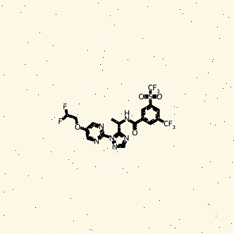 CC(NC(=O)c1cc(C(F)(F)F)cc(S(=O)(=O)C(F)(F)F)c1)c1ncnn1-c1ncc(OCC(F)F)cn1